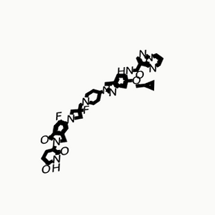 O=C1CCC(N2Cc3cc(N4CC(F)(CN5CCC(n6cc7cc(NC(=O)c8cnn9cccnc89)c(OCC8CC8)cc7n6)CC5)C4)c(F)cc3C2=O)C(=O)N1